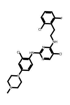 CN1CCN(c2ccc(Nc3ncc(Cl)c(NCCc4c(F)cccc4Cl)n3)c(Cl)c2)CC1